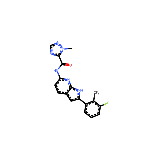 Cn1ncnc1C(=O)Nc1ccc2cc(-c3cccc(F)c3C(F)(F)F)[nH]c2n1